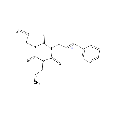 C=CCn1c(=S)n(CC=C)c(=S)n(C/C=C/c2ccccc2)c1=S